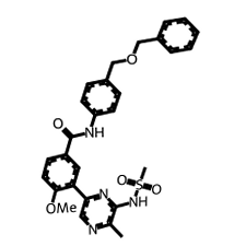 COc1ccc(C(=O)Nc2ccc(COCc3ccccc3)cc2)cc1-c1cnc(C)c(NS(C)(=O)=O)n1